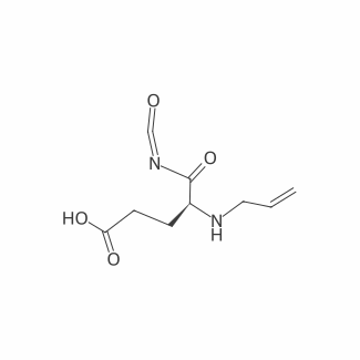 C=CCN[C@@H](CCC(=O)O)C(=O)N=C=O